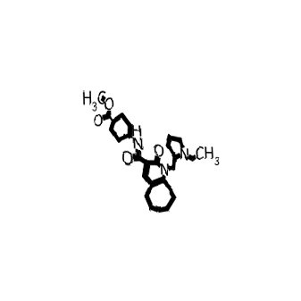 CCN1CCCC1Cn1c2c(cc(C(=O)N[C@H]3CC[C@H](C(=O)OC)CC3)c1=O)CCCCCC2